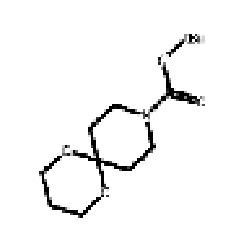 CC(C)(C)OC(=O)N1CCC2(CC1)OCCCO2